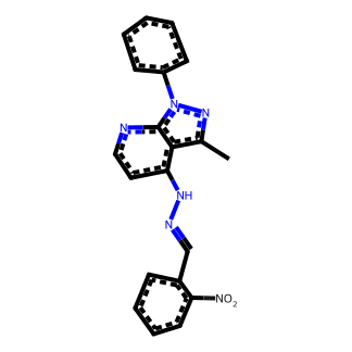 Cc1nn(-c2ccccc2)c2nccc(NN=Cc3ccccc3[N+](=O)[O-])c12